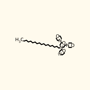 CCCCCCCCCCCCCCCCCC[N+]1(C2C[N]CCO2)CC(N2CCOCC2)OC(N2CCOCC2)C1